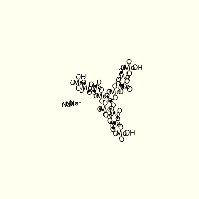 O=P([O][Mo](=[O])(=[O])[O][Mo](=[O])(=[O])[O][Mo](=[O])(=[O])[O][Mo](=[O])(=[O])[OH])([O][Mo](=[O])(=[O])[O][Mo](=[O])(=[O])[O][Mo](=[O])(=[O])[O][Mo](=[O])(=[O])[OH])[O][Mo](=[O])(=[O])[O][Mo](=[O])(=[O])[O][Mo](=[O])(=[O])[O][Mo](=[O])(=[O])[OH].[Na+].[Na+].[Na+]